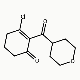 O=C1CCCC(Cl)=C1C(=O)C1CCOCC1